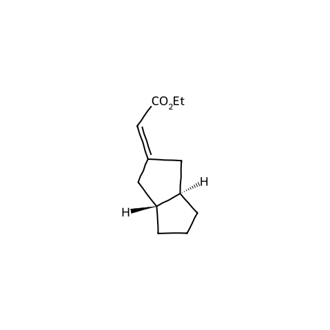 CCOC(=O)C=C1C[C@H]2CCC[C@@H]2C1